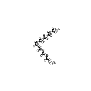 O=[N+]([O-])[O-].O=[N+]([O-])[O-].O=[N+]([O-])[O-].O=[N+]([O-])[O-].O=[N+]([O-])[O-].O=[N+]([O-])[O-].O=[N+]([O-])[O-].O=[N+]([O-])[O-].[Co+2].[Ga+3].[In+3]